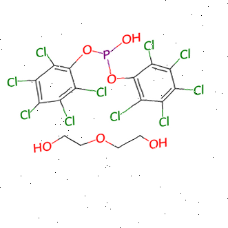 OCCOCCO.OP(Oc1c(Cl)c(Cl)c(Cl)c(Cl)c1Cl)Oc1c(Cl)c(Cl)c(Cl)c(Cl)c1Cl